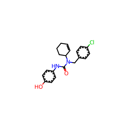 O=C(Nc1ccc(O)cc1)N(Cc1ccc(Cl)cc1)C1C=CCCC1